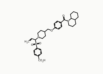 C=CC(N1CCC(COc2ccc(C(=O)N3CCCC4CCCCC43)cc2)CC1)S(=O)(=O)c1ccc(C(=O)O)cc1